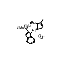 CCCCC1=[C]([Hf+2][CH]2C(P(CCCC)CCCC)=Cc3ccccc32)CC=C1C.[Cl-].[Cl-]